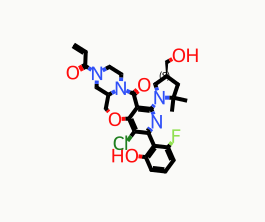 C=CC(=O)N1CCN2C(=O)c3c(N4C[C@@H](CO)CC4(C)C)nc(-c4c(O)cccc4F)c(Cl)c3OCC2C1